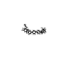 CC(C)CC(Oc1ccc(-c2ccc(N3CCN(C(=O)O[Si](C(C)C)(C(C)C)C(C)C)CC3)cc2)cc1)C(=O)NCC#N